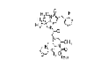 C[C@@H]1COCCN1C[C@H]1CN(C(=O)OC(C)(C)C)[C@H](C)CN1CC(=O)N1CC(C)(C)c2c1cc(Cc1ccccc1F)c(=O)n2C